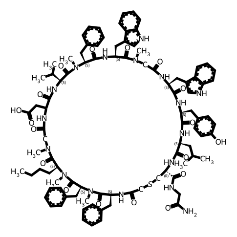 CCCC[C@H]1C(=O)N(C)CC(=O)NC(CC(=O)O)C(=O)N[C@@H](C(C)C)C(=O)N(C)[C@@H](Cc2ccccc2)C(=O)N[C@@H](Cc2c[nH]c3ccccc23)C(=O)N(C)CC(=O)N[C@@H](Cc2c[nH]c3ccccc23)C(=O)N[C@@H](Cc2ccc(O)cc2)C(=O)N[C@@H](CC(C)C)C(=O)N[C@H](C(=O)NCC(N)=O)CSCC(=O)N[C@@H](Cc2ccccc2)C(=O)N(C)[C@@H](Cc2ccccc2)C(=O)N1C